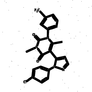 Cc1c(-c2ccnn2-c2ccc(Cl)cc2)c(=O)n(C)c(=O)n1-c1cccc(C(F)(F)F)c1